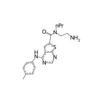 CCCN(CCN)C(=O)c1cc2c(Nc3ccc(C)cc3)ncnc2s1